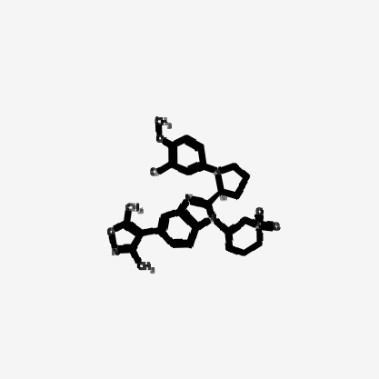 COc1ccc(N2CCC[C@H]2c2nc3cc(-c4c(C)noc4C)ccc3n2C2CCCS(=O)(=O)C2)cc1Cl